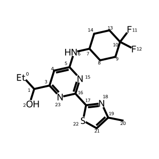 CCC(O)c1cc(NC2CCC(F)(F)CC2)nc(-c2nc(C)cs2)n1